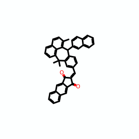 Cc1ccc2cccc3c2c1C(c1ccc2ccccc2c1)c1ccc(C=C2C(=O)c4cc5ccccc5cc4C2=O)cc1C3(C)C